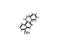 Oc1cccc2c3c(ccc12)-c1ccccc1CC3